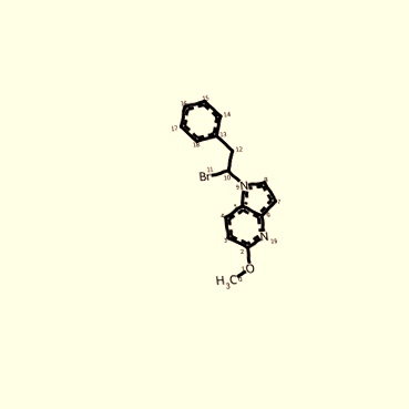 COc1ccc2c(ccn2C(Br)Cc2ccccc2)n1